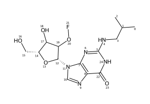 CC(C)CNc1nc2c(ncn2[C@@H]2O[C@H](CO)C(O)C2OF)c(=O)[nH]1